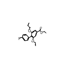 CCCOc1cc(C(=O)OCC)cc(OCC)c1-c1ccc(I)cc1